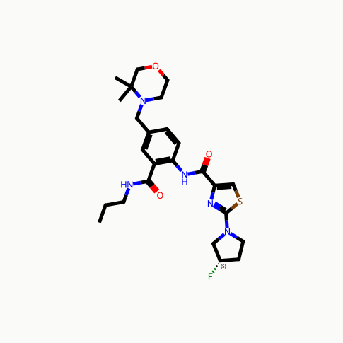 CCCNC(=O)c1cc(CN2CCOCC2(C)C)ccc1NC(=O)c1csc(N2CC[C@H](F)C2)n1